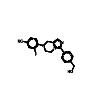 N#Cc1ccc(N2CCn3c(cnc3-c3ccc(CO)cc3)C2)c(F)c1